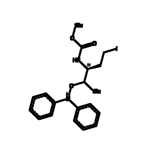 CC(C)(C)OC(=O)N[C@@H](CCI)C(O[SiH](c1ccccc1)c1ccccc1)C(C)(C)C